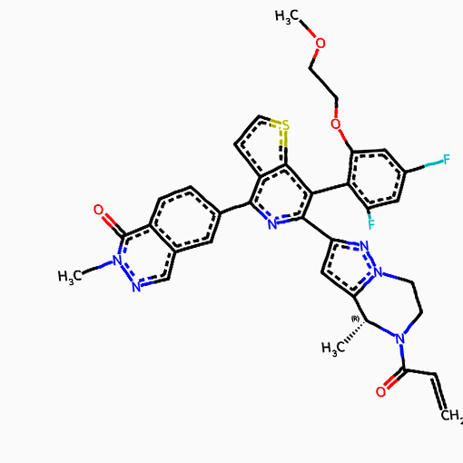 C=CC(=O)N1CCn2nc(-c3nc(-c4ccc5c(=O)n(C)ncc5c4)c4ccsc4c3-c3c(F)cc(F)cc3OCCOC)cc2[C@H]1C